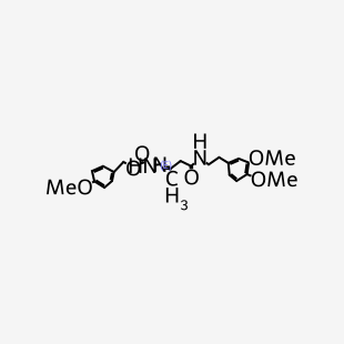 COc1ccc(COC(=O)N/N=C(\C)CC(=O)NCCc2ccc(OC)c(OC)c2)cc1